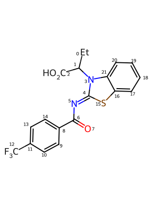 CCC(C(=O)O)n1c(=NC(=O)c2ccc(C(F)(F)F)cc2)sc2ccccc21